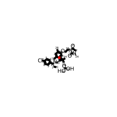 CC[C@H](c1ccc(Cl)cc1)N(Cc1ccc(OCCN2C(=O)CN(C)C2=O)c(C)c1)C[C@@H]1CC1(C)C.O=C(O)O